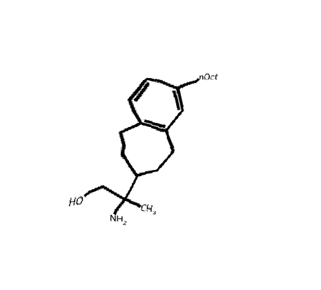 CCCCCCCCc1ccc2c(c1)CCC(C(C)(N)CO)CC2